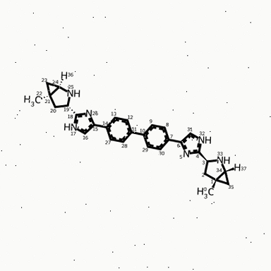 C[C@@]12C[C@@H](c3nc(-c4ccc(-c5ccc(-c6c[nH]c([C@@H]7C[C@@]8(C)C[C@H]8N7)n6)cc5)cc4)c[nH]3)N[C@@H]1C2